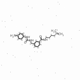 CN(C)CCCCNC(=O)c1cccc(CNC(=O)Nc2ccc(N)cc2)c1